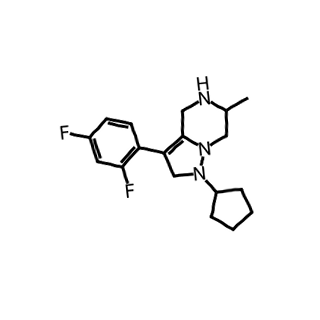 CC1CN2C(=C(c3ccc(F)cc3F)CN2C2CCCC2)CN1